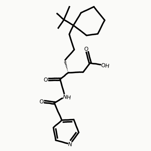 CC(C)(C)C1(CCC[C@H](CC(=O)O)C(=O)NC(=O)c2ccncc2)CCCCC1